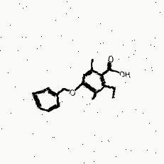 CCc1c(C)c(OCc2ccccc2)cc(C)c1C(=O)O